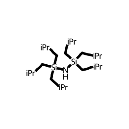 CC(C)C[Si](CC(C)C)(CC(C)C)N[Si](CC(C)C)(CC(C)C)CC(C)C